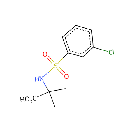 CC(C)(NS(=O)(=O)c1cccc(Cl)c1)C(=O)O